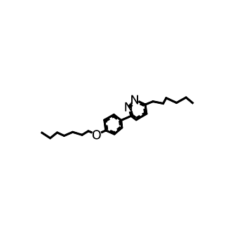 CCCCCCCOc1ccc(-c2ccc(CCCCCC)nn2)cc1